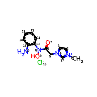 C[n+]1ccn(CC(=O)N(O)c2ccccc2N)c1.[Cl-]